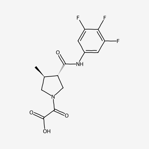 C[C@@H]1CN(C(=O)C(=O)O)C[C@H]1C(=O)Nc1cc(F)c(F)c(F)c1